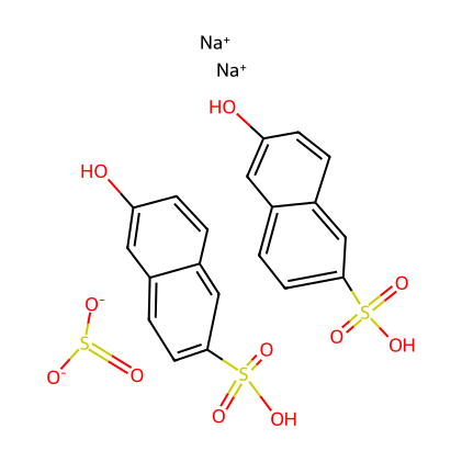 O=S(=O)(O)c1ccc2cc(O)ccc2c1.O=S(=O)(O)c1ccc2cc(O)ccc2c1.O=S([O-])[O-].[Na+].[Na+]